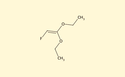 CCOC(=CF)OCC